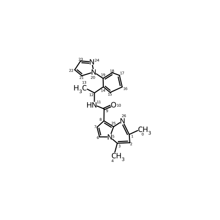 Cc1cc(C)n2ccc(C(=O)NC(C)c3ccccc3-n3cccn3)c2n1